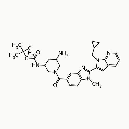 Cn1c(-c2cc3cccnc3n2CC2CC2)nc2cc(C(=O)N3CC(N)CC(NC(=O)OC(C)(C)C)C3)ccc21